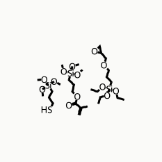 C=C(C)C(=O)OCCC[Si](OC)(OC)OC.CCO[Si](CCCOCC1CO1)(OCC)OCC.CO[Si](CCCS)(OC)OC